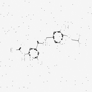 CCC(=O)Nc1cc(C(=O)NCc2cnc(OCC(F)F)c(C)c2)cc(C)n1